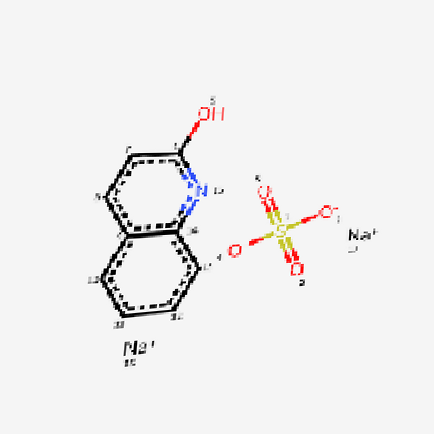 O=S(=O)([O-])[O-].Oc1ccc2ccccc2n1.[Na+].[Na+]